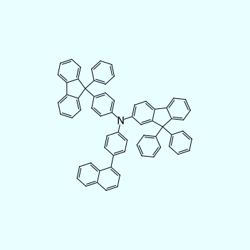 c1ccc(C2(c3ccc(N(c4ccc(-c5cccc6ccccc56)cc4)c4ccc5c(c4)C(c4ccccc4)(c4ccccc4)c4ccccc4-5)cc3)c3ccccc3-c3ccccc32)cc1